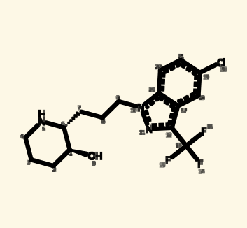 O[C@H]1CCCN[C@@H]1CCCn1nc(C(F)(F)F)c2cc(Cl)ccc21